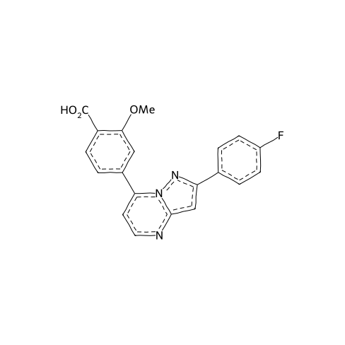 COc1cc(-c2ccnc3cc(-c4ccc(F)cc4)nn23)ccc1C(=O)O